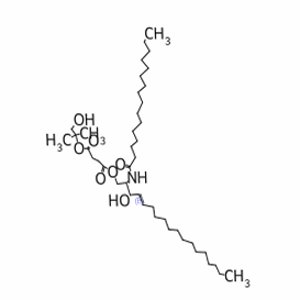 CCCCCCCCCCCCC/C=C/C(O)C(COC(=O)CCC(=O)OC(C)(C)CO)NC(=O)CCCCCCCCCCCCCCC